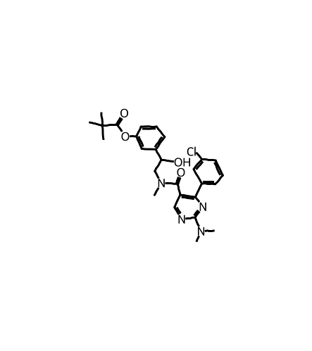 CN(CC(O)c1cccc(OC(=O)C(C)(C)C)c1)C(=O)c1cnc(N(C)C)nc1-c1cccc(Cl)c1